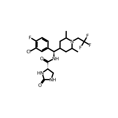 CC1CC([C@@H](NC(=O)[C@@H]2CNC(=O)N2)c2ccc(F)c(Cl)c2)CC(C)N1CC(F)(F)F